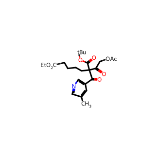 CCOC(=O)CCCCC(C(=O)COC(C)=O)(C(=O)OC(C)(C)C)C(=O)c1cncc(C)c1